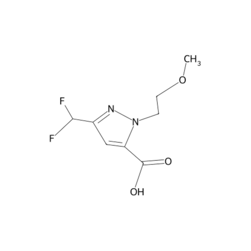 COCCn1nc(C(F)F)cc1C(=O)O